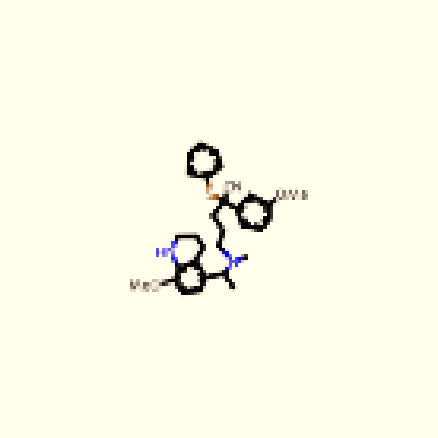 COc1cccc(C(C#N)(CCCN(C)C(C)c2ccc(OC)c3c2CCCN3)Sc2ccccc2)c1